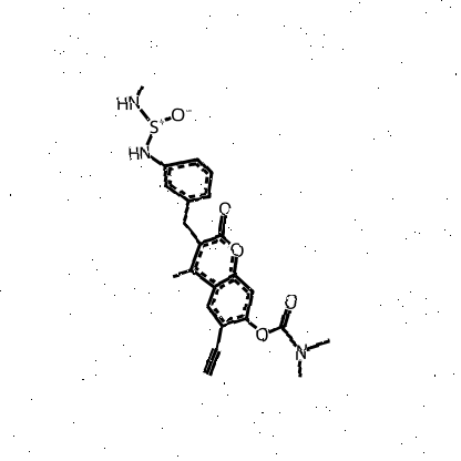 C#Cc1cc2c(C)c(Cc3cccc(N[S+]([O-])NC)c3)c(=O)oc2cc1OC(=O)N(C)C